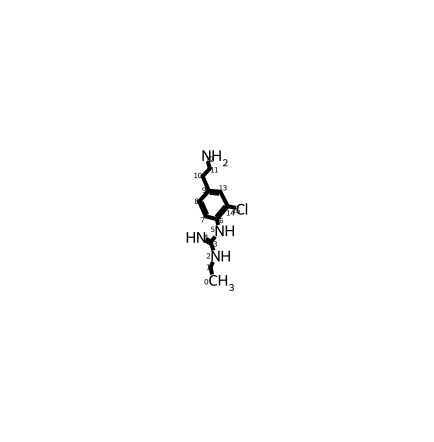 CCNC(=N)Nc1ccc(CCN)cc1Cl